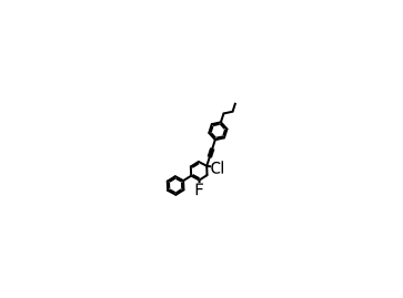 CCCc1ccc(C#CC2(Cl)C=CC(c3ccccc3)=C(F)C2)cc1